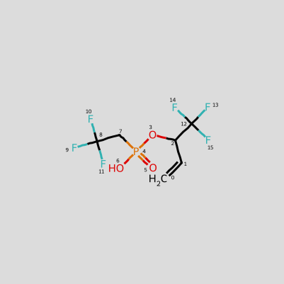 C=CC(OP(=O)(O)CC(F)(F)F)C(F)(F)F